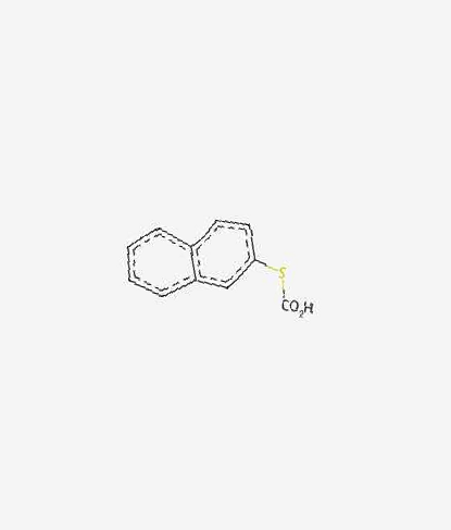 O=C(O)Sc1ccc2ccccc2c1